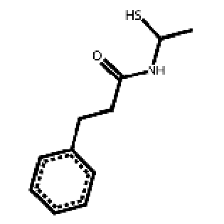 CC(S)NC(=O)CCc1ccccc1